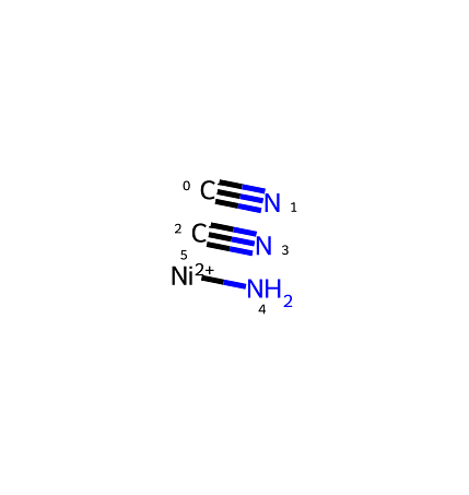 [C-]#N.[C-]#N.[NH2][Ni+2]